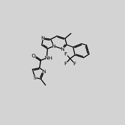 Cc1nc(C(=O)Nc2cnc3cc(C)c(-c4ccccc4C(F)(F)F)nn23)cs1